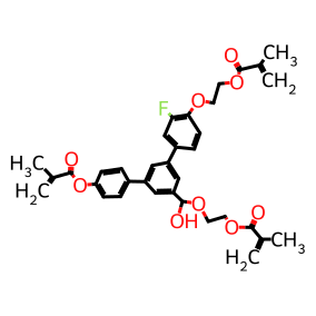 C=C(C)C(=O)OCCOc1ccc(-c2cc(-c3ccc(OC(=O)C(=C)C)cc3)cc(C(O)OCCOC(=O)C(=C)C)c2)cc1F